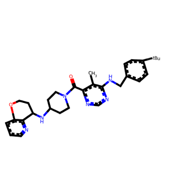 Cc1c(NCc2ccc(C(C)(C)C)cc2)ncnc1C(=O)N1CCC(NC2CCOc3cccnc32)CC1